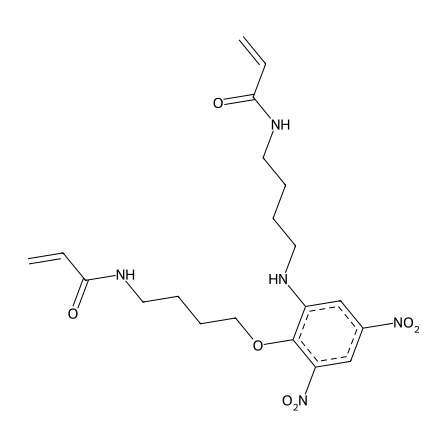 C=CC(=O)NCCCCNc1cc([N+](=O)[O-])cc([N+](=O)[O-])c1OCCCCNC(=O)C=C